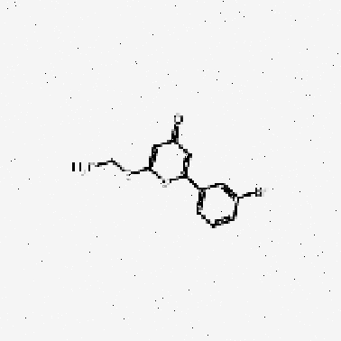 CCSc1cc(=O)cc(-c2cccc(Br)c2)s1